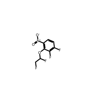 O=[N+]([O-])c1ccc(F)c(F)c1OC(F)CF